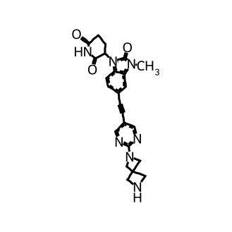 Cn1c(=O)n(C2CCC(=O)NC2=O)c2ccc(C#Cc3cnc(N4CC5(CNC5)C4)nc3)cc21